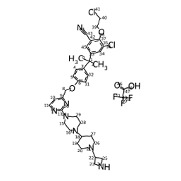 CC(C)(c1ccc(OCc2ccnc(N3CCN(C4CCN(C5CNC5)CC4)CC3)n2)cc1)c1cc(Cl)c(OCCCl)c(C#N)c1.O=C(O)C(F)(F)F